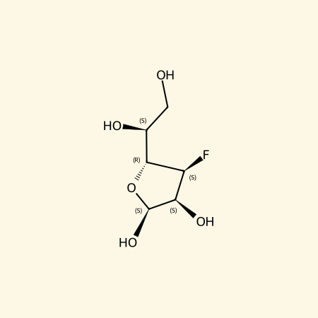 OC[C@H](O)[C@H]1O[C@H](O)[C@H](O)[C@@H]1F